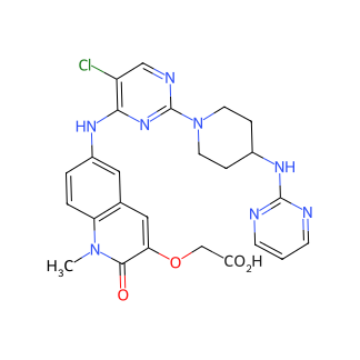 Cn1c(=O)c(OCC(=O)O)cc2cc(Nc3nc(N4CCC(Nc5ncccn5)CC4)ncc3Cl)ccc21